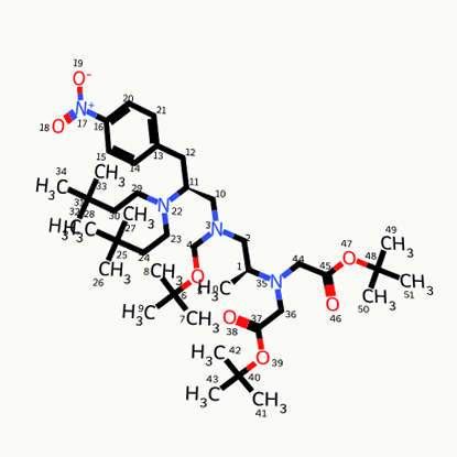 C[C@@H](CN(COC(C)(C)C)C[C@H](Cc1ccc([N+](=O)[O-])cc1)N(CCC(C)(C)C)CCC(C)(C)C)N(CC(=O)OC(C)(C)C)CC(=O)OC(C)(C)C